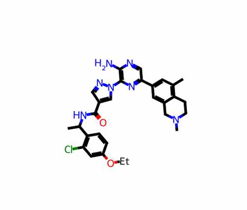 CCOc1ccc(C(C)NC(=O)c2cnn(-c3nc(-c4cc(C)c5c(c4)CN(C)CC5)cnc3N)c2)c(Cl)c1